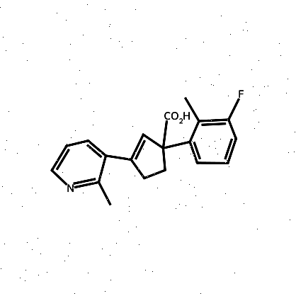 Cc1ncccc1C1=CC(C(=O)O)(c2cccc(F)c2C)CC1